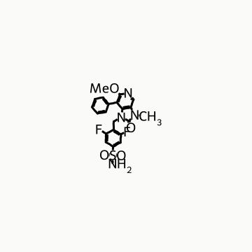 COc1ncc2c(c1-c1ccccc1)n(Cc1c(F)cc(S(N)(=O)=O)cc1F)c(=O)n2C